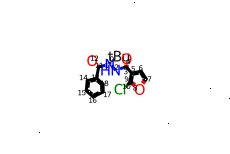 CC(C)(C)N(NC(=O)c1ccoc1Cl)C(=O)c1ccccc1